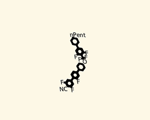 CCCCCC1CCC(c2cc(F)c(C(F)(F)OC3CCC(c4ccc(-c5cc(F)c(C#N)c(F)c5)c(F)c4)CC3)c(F)c2)CC1